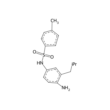 Cc1ccc(S(=O)(=O)Nc2ccc(N)c(CC(C)C)c2)cc1